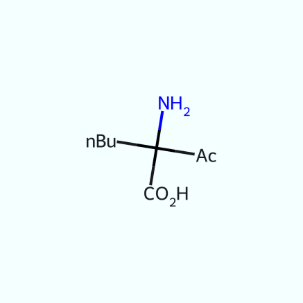 CCCCC(N)(C(C)=O)C(=O)O